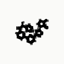 C[C@H](Nc1nccc(-c2cccc(-c3cc([C@@H]4CCN(C)C4=O)on3)n2)n1)c1cn[nH]c1